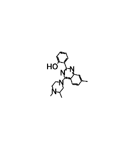 Cc1ccc2c(N3CCN(C)C(C)C3)nc(-c3ccccc3O)nc2c1